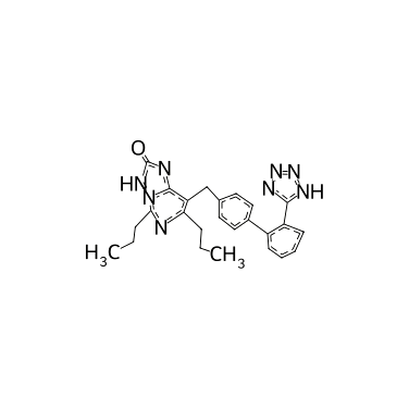 CCCc1nc(CCC)n2[nH]c(=O)nc2c1Cc1ccc(-c2ccccc2-c2nnn[nH]2)cc1